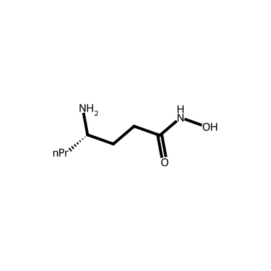 CCC[C@H](N)CCC(=O)NO